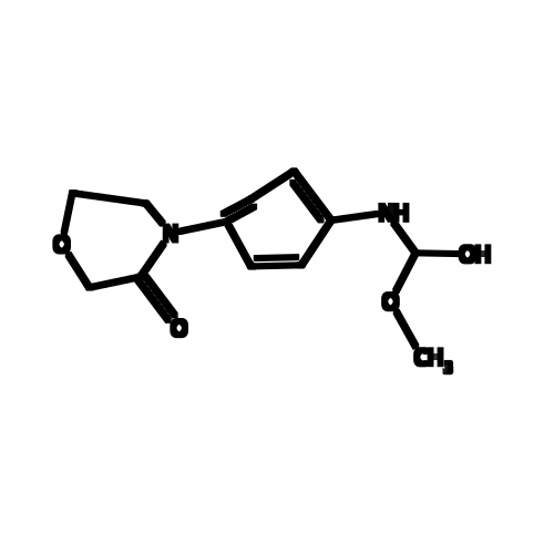 COC(O)Nc1ccc(N2CCOCC2=O)cc1